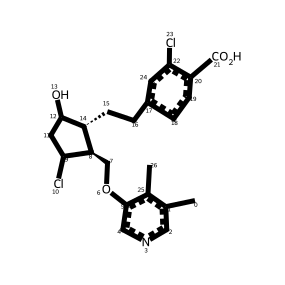 Cc1cncc(OC[C@H]2C(Cl)CC(O)[C@@H]2CCc2ccc(C(=O)O)c(Cl)c2)c1C